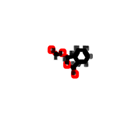 O=COC1OC(=O)c2ccccc21